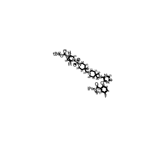 CC(C)N(C(=O)c1cc(F)ccc1Oc1nncnc1N1CC2(CCN(CC3(F)CCN(S(=O)(=O)N4C[C@@H]5C[C@H]4CN5C(=O)OC(C)(C)C)CC3)CC2)C1)C(C)C